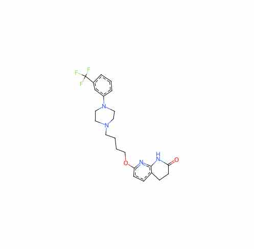 O=C1CCc2ccc(OCCCCN3CCN(c4cccc(C(F)(F)F)c4)CC3)nc2N1